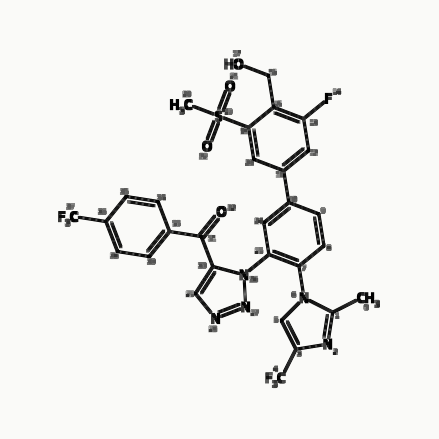 Cc1nc(C(F)(F)F)cn1-c1ccc(-c2cc(F)c(CO)c(S(C)(=O)=O)c2)cc1-n1nncc1C(=O)c1ccc(C(F)(F)F)cc1